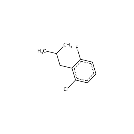 CC(C)Cc1c(F)cccc1Cl